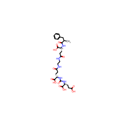 CC(Cc1ccccc1)C(=O)N[C@H](CCC(=O)NCCNC(=O)CC[C@H](NC(=O)N[C@@H](CCC(=O)O)C(=O)O)C(=O)O)C(=O)O